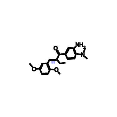 CC/C(=C\c1cc(OC)ccc1OC)C(=O)c1ccc(N(C)C)c(N)c1